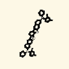 Cc1ccc(N(c2ccccc2)c2ccc3cc4c(cc3c2)oc2c4ccc3c4cc5ccc(N(c6ccccc6)c6ccc(C)cc6C)cc5cc4oc32)c(C)c1